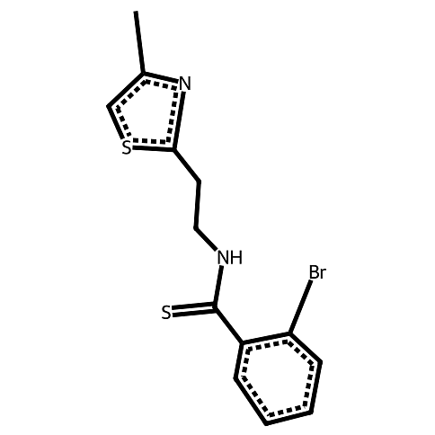 Cc1csc(CCNC(=S)c2ccccc2Br)n1